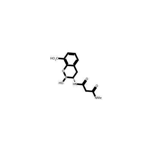 CNC(=O)CC(=O)N[C@H]1Cc2cccc(C(=O)O)c2OB1O